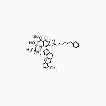 Cc1cccc(Cl)c1CN1CCc2cc(-c3c(CNCCCCCCc4ccccc4)nc(C)c([C@H](OC(C)(C)C)C(=O)O)c3N3CCC(C)(C)CC3)ccc2C1